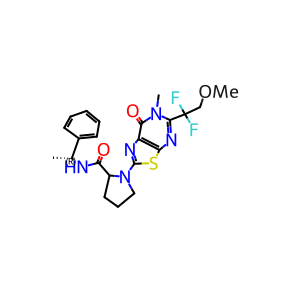 COCC(F)(F)c1nc2sc(N3CCCC3C(=O)N[C@H](C)c3ccccc3)nc2c(=O)n1C